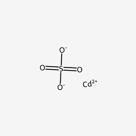 O=S(=O)([O-])[O-].[Cd+2]